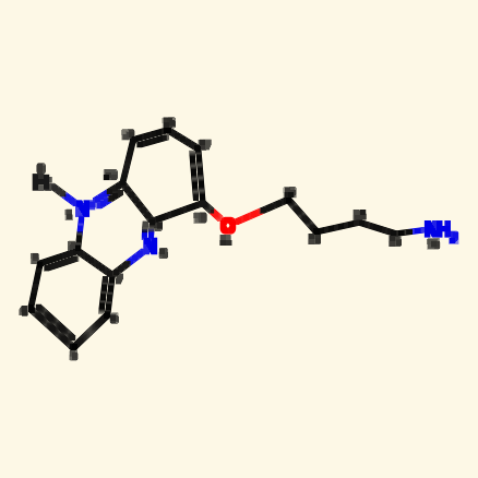 CC[n+]1c2ccccc2nc2c(OCCCCN)cccc21